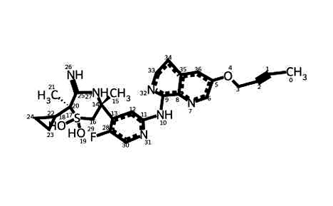 CC#CCOc1cnc2c(Nc3cc([C@]4(C)CS(O)(O)[C@@](C)(C5CC5)C(=N)N4)c(F)cn3)nccc2c1